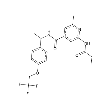 CCC(=O)Nc1cc(C(=O)NC(C)c2ccc(OCC(F)(F)F)cc2)cc(C)n1